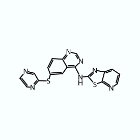 c1cnc2sc(Nc3ncnc4ccc(Sc5cnccn5)cc34)nc2c1